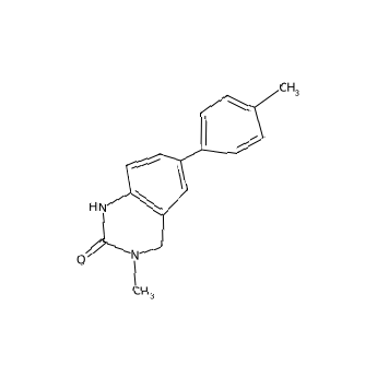 Cc1ccc(-c2ccc3c(c2)CN(C)C(=O)N3)cc1